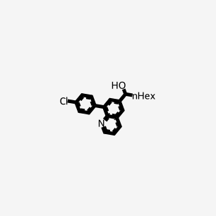 CCCCCCC(O)c1cc(-c2ccc(Cl)cc2)c2ncccc2c1